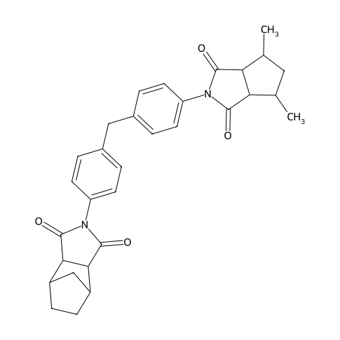 CC1CC(C)C2C(=O)N(c3ccc(Cc4ccc(N5C(=O)C6C7CCC(C7)C6C5=O)cc4)cc3)C(=O)C12